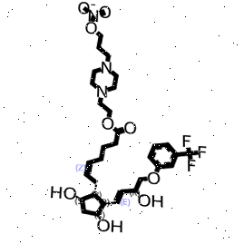 O=C(CCC/C=C\C[C@@H]1[C@@H](/C=C/[C@@H](O)COc2cccc(C(F)(F)F)c2)[C@H](O)C[C@@H]1O)OCCN1CCN(CCCO[N+](=O)[O-])CC1